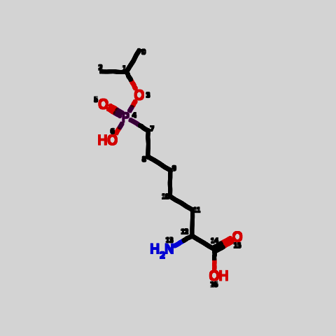 CC(C)OP(=O)(O)CCCCCC(N)C(=O)O